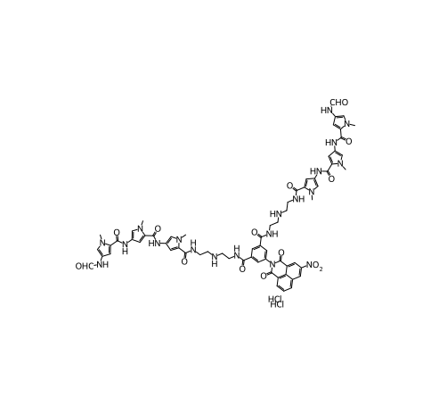 Cl.Cl.Cn1cc(NC(=O)c2cc(NC(=O)c3cc(NC=O)cn3C)cn2C)cc1C(=O)NCCNCCNC(=O)c1cc(C(=O)NCCNCCNC(=O)c2cc(NC(=O)c3cc(NC(=O)c4cc(NC=O)cn4C)cn3C)cn2C)cc(N2C(=O)c3cccc4cc([N+](=O)[O-])cc(c34)C2=O)c1